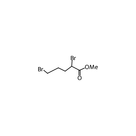 COC(=O)C(Br)CCCBr